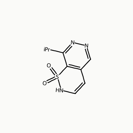 CC(C)c1nncc2c1S(=O)(=O)NC=C2